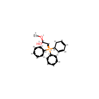 CCOC(O)C=P(c1ccccc1)(c1ccccc1)C1C=CC=CC1